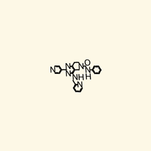 O=C(Nc1ccccc1)N1CCc2nc(-c3ccncc3)nc(NCc3ccccn3)c2C1